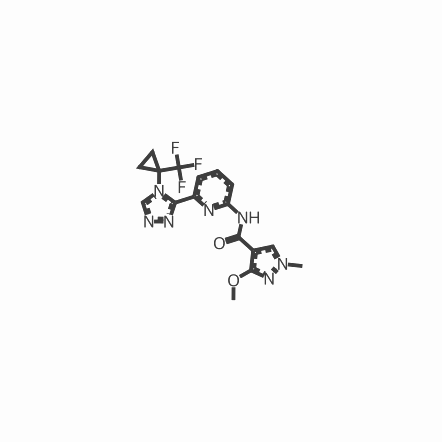 COc1nn(C)cc1C(=O)Nc1cccc(-c2nncn2C2(C(F)(F)F)CC2)n1